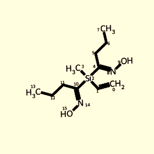 C=C[Si](C)(C(CCC)=NO)C(CCC)=NO